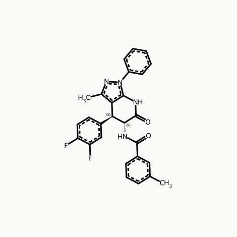 Cc1cccc(C(=O)N[C@H]2C(=O)Nc3c(c(C)nn3-c3ccccc3)[C@@H]2c2ccc(F)c(F)c2)c1